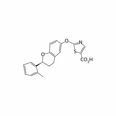 Cc1ccccc1[C@@H]1CCc2cc(Oc3ncc(C(=O)O)s3)ccc2O1